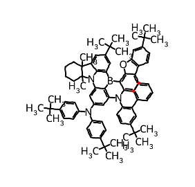 CC(C)(C)c1ccc(N(c2ccc(C(C)(C)C)cc2)c2cc3c4c(c2)N2c5c(cc(C(C)(C)C)cc5C5(C)CCCCC25C)B4c2c(ccc4c2oc2cc(C(C)(C)C)ccc24)N3c2ccc(C(C)(C)C)cc2-c2ccccc2)cc1